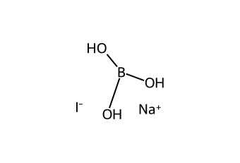 OB(O)O.[I-].[Na+]